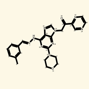 Cc1cccc(C=NNc2nc(N3CCOCC3)nc3c2ncn3CC(=O)c2cnccn2)c1